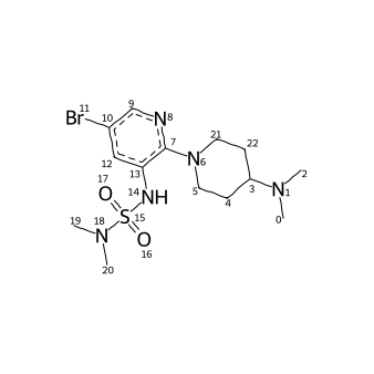 CN(C)C1CCN(c2ncc(Br)cc2NS(=O)(=O)N(C)C)CC1